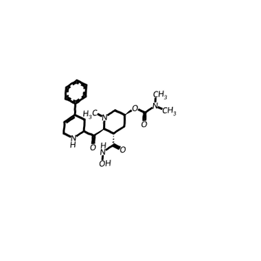 CN(C)C(=O)O[C@H]1C[C@H](C(=O)NO)[C@@H](C(=O)C2CC(c3ccccc3)=CCN2)N(C)C1